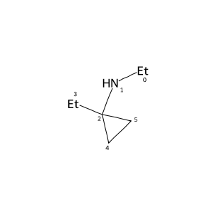 CCNC1(CC)CC1